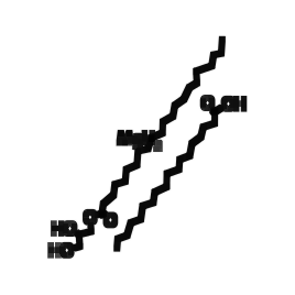 CCCCCCCCCCCCCCCCCC(=O)O.CCCCCCCCCCCCCCCCCCCCCC(=O)OCC(O)CO.[MgH2]